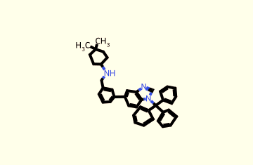 CC1(C)CCC(NCc2cccc(-c3ccc4c(c3)ncn4C(c3ccccc3)(c3ccccc3)c3ccccc3)c2)CC1